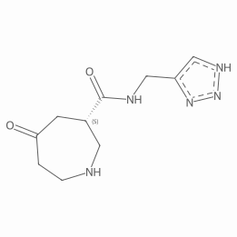 O=C1CCNC[C@@H](C(=O)NCc2c[nH]nn2)C1